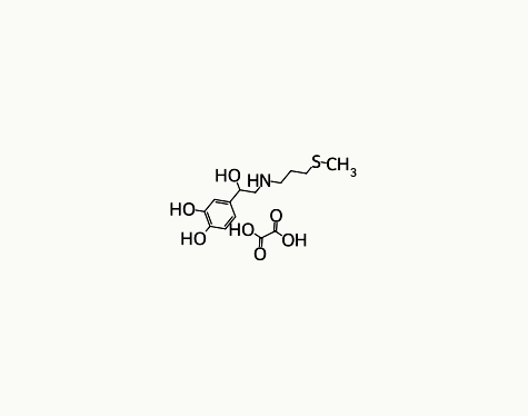 CSCCCNCC(O)c1ccc(O)c(O)c1.O=C(O)C(=O)O